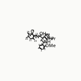 COc1ccccc1C1CC(C(O)NCC2C(=O)N(C)C(C)CC2C)c2cnn(C(C)C)c2N1